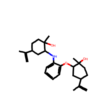 C=C(C)C1CCC(C)(O)C(Nc2ccccc2OC2CC(C(=C)C)CCC2(C)O)C1